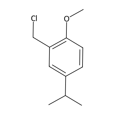 COc1ccc(C(C)C)cc1CCl